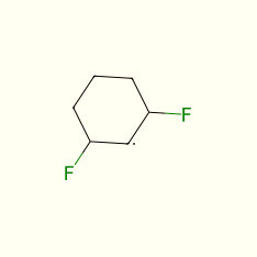 FC1[CH]C(F)CCC1